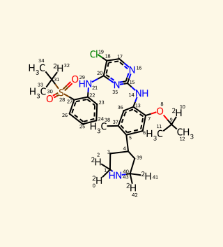 [2H]C1([2H])CC(c2cc(OC([2H])(C)C)c(Nc3ncc(Cl)c(Nc4ccccc4S(=O)(=O)C([2H])(C)C)n3)cc2C)CC([2H])([2H])N1